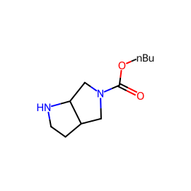 CCCCOC(=O)N1CC2CCNC2C1